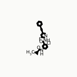 C[C@H]1CC1C(=O)Nc1ccc(Cl)c(C(=O)Nc2ncc(C#Cc3ccccc3)cc2F)c1